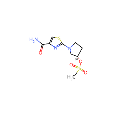 CS(=O)(=O)O[C@H]1CCN(c2nc(C(N)=O)cs2)C1